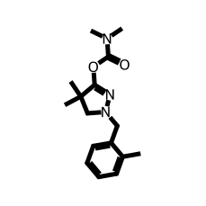 Cc1ccccc1CN1CC(C)(C)C(OC(=O)N(C)C)=N1